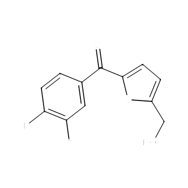 O=C(c1ccc(F)c(F)c1)c1ccc(CO)s1